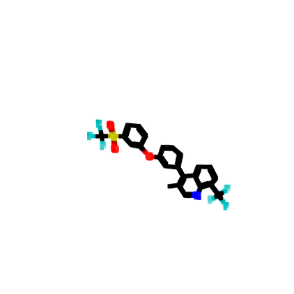 Cc1cnc2c(C(F)(F)F)cccc2c1-c1cccc(Oc2cccc(S(=O)(=O)C(F)(F)F)c2)c1